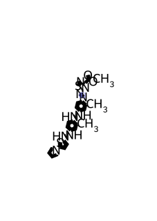 COC(=O)c1nsc(/N=N/c2ccc(NNc3ccc(NNc4ccc(N5CCCC5)s4)cc3C)cc2C)n1